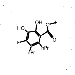 CCCc1c(F)c(O)c(O)c(C(=O)OF)c1CCC